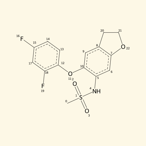 CS(=O)(=O)Nc1cc2c(cc1Oc1ccc(F)cc1F)CCO2